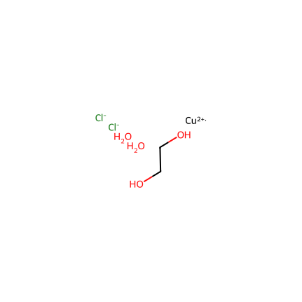 O.O.OCCO.[Cl-].[Cl-].[Cu+2]